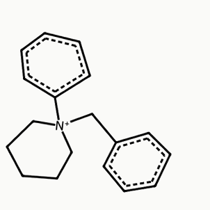 c1ccc(C[N+]2(c3ccccc3)CCCCC2)cc1